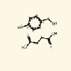 O=C(O)CCC(=O)O.OCc1ccc(O)cc1